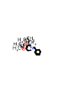 C[Si](C)(C)OC1=C(O[Si](C)(C)C)CN(Cc2ccccc2)CC1